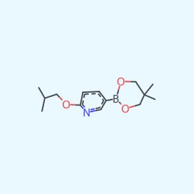 CC(C)COc1ccc(B2OCC(C)(C)CO2)cn1